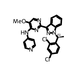 COc1cnc(-c2nn([C@@H](C)c3ccc(Cl)cc3Cl)c3ccccc23)nc1Nc1ccncc1